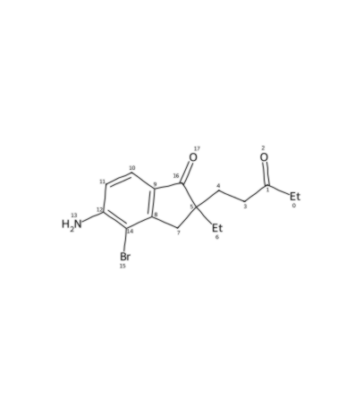 CCC(=O)CCC1(CC)Cc2c(ccc(N)c2Br)C1=O